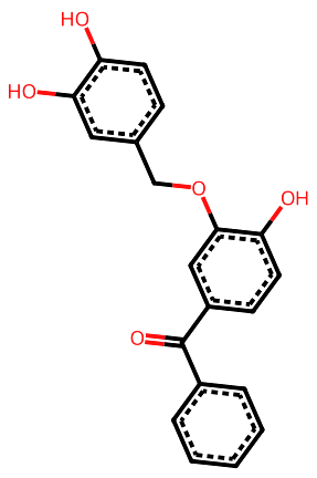 O=C(c1ccccc1)c1ccc(O)c(OCc2ccc(O)c(O)c2)c1